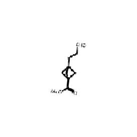 COC(=O)C12CC(CCC=O)(C1)C2